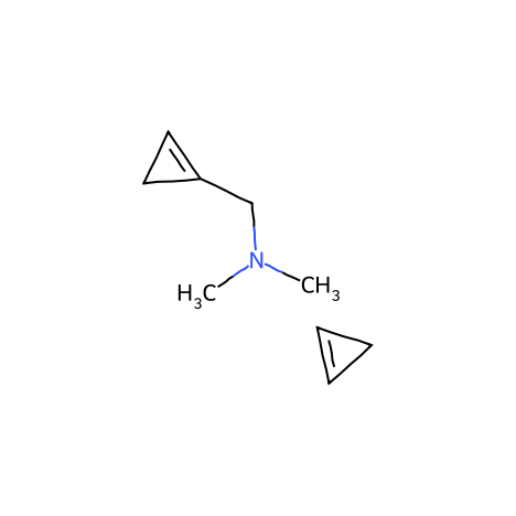 C1=CC1.CN(C)CC1=CC1